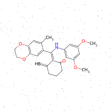 B=C1CCCC(=O)/C1=C(\Nc1cc(OC)cc(OC)c1)c1cc2c(cc1C)OCCO2